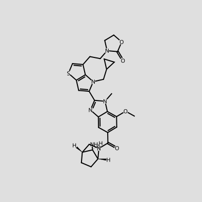 COc1cc(C(=O)N2C[C@H]3CC[C@@H]2[C@@H]3N)cc2nc(-c3cc4scc(CCN5CCOC5=O)c4n3CC3CC3)n(C)c12